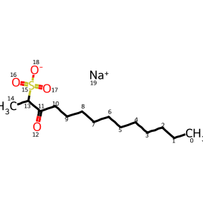 CCCCCCCCCCCC(=O)C(C)S(=O)(=O)[O-].[Na+]